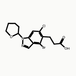 O=C(O)CCc1c(Cl)cc2c(cnn2C2CCCCO2)c1Br